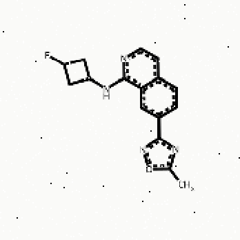 Cc1nc(-c2ccc3ccnc(NC4CC(F)C4)c3c2)no1